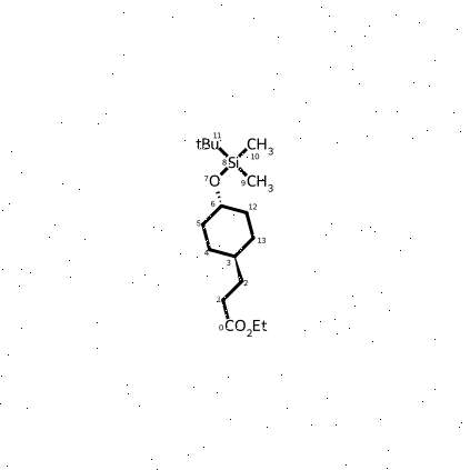 CCOC(=O)CC[C@H]1CC[C@H](O[Si](C)(C)C(C)(C)C)CC1